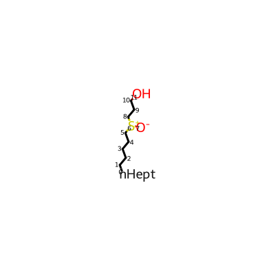 CCCCCCCCCCCC[S+]([O-])CCCO